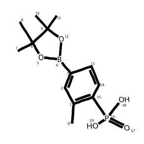 Cc1cc(B2OC(C)(C)C(C)(C)O2)ccc1P(=O)(O)O